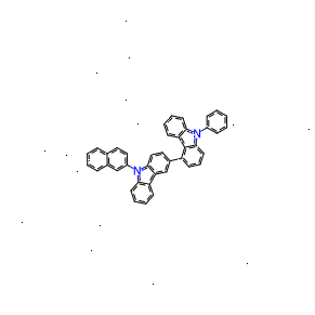 c1ccc(-n2c3ccccc3c3c(-c4ccc5c(c4)c4ccccc4n5-c4ccc5ccccc5c4)cccc32)cc1